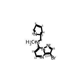 CN(Cc1ccccn1)c1ccnc2c(Br)cnn12